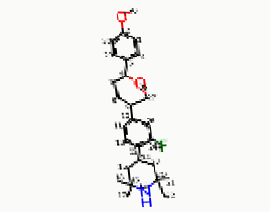 COc1ccc(C2CCC(c3ccc(C4CC(C)(C)NC(C)(C)C4)c(F)c3)CO2)cc1